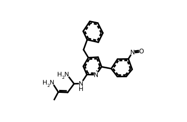 C/C(N)=C/C(N)Nc1cc(Cc2ccccc2)cc(-c2cccc(N=O)c2)n1